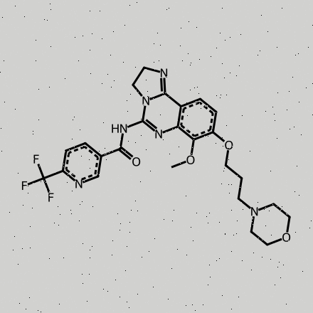 COc1c(OCCCN2CCOCC2)ccc2c1N=C(NC(=O)c1ccc(C(F)(F)F)nc1)N1CCN=C21